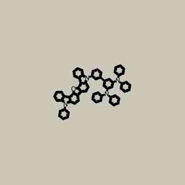 c1ccc(N(c2ccccc2)c2cc(-c3cccc(-n4c5ccccc5c5c6oc7c(ccc8c7c7ccccc7n8-c7ccccc7)c6ccc54)c3)cc(N(c3ccccc3)c3ccccc3)c2)cc1